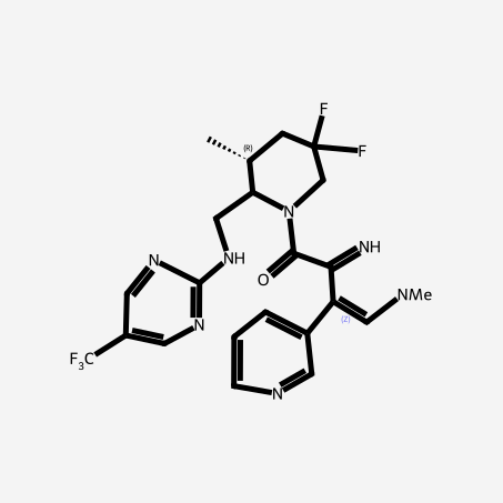 CN/C=C(\C(=N)C(=O)N1CC(F)(F)C[C@@H](C)C1CNc1ncc(C(F)(F)F)cn1)c1cccnc1